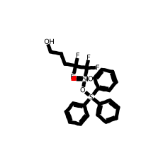 O=S(=O)(OS(c1ccccc1)(c1ccccc1)c1ccccc1)C(F)(F)C(F)(F)CCCO